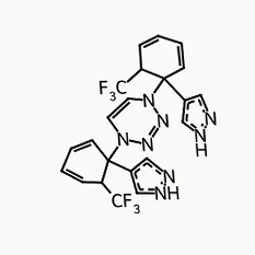 FC(F)(F)C1C=CC=CC1(c1cn[nH]c1)N1C=CN(C2(c3cn[nH]c3)C=CC=CC2C(F)(F)F)N=N1